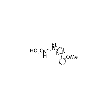 CCN(CCNC(=O)O)c1ccnc(-c2ccccc2OC)n1